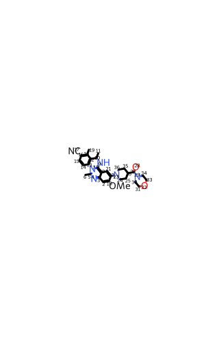 COc1cc2nc(C)nc(NC(C)c3cccc(C#N)c3C)c2cc1N1CCC(C(=O)N2CCOCC2)CC1